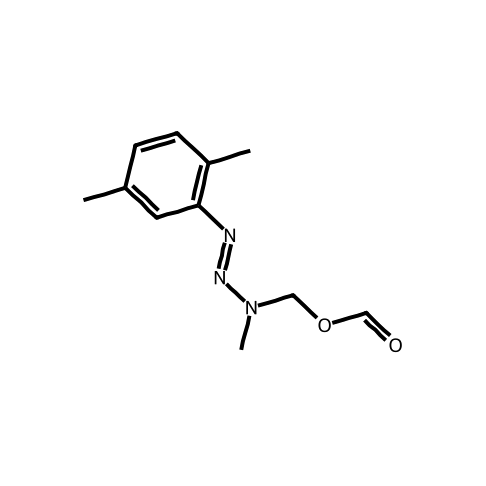 Cc1ccc(C)c(/N=N/N(C)COC=O)c1